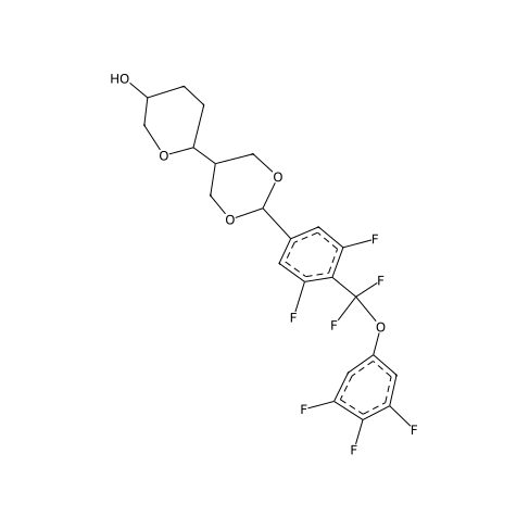 OC1CCC(C2COC(c3cc(F)c(C(F)(F)Oc4cc(F)c(F)c(F)c4)c(F)c3)OC2)OC1